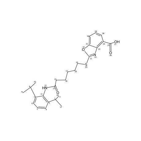 CC(C)c1cccc(C(C)C)c1NC(=O)CCCCCSc1nc2c(C(=O)O)cccc2o1